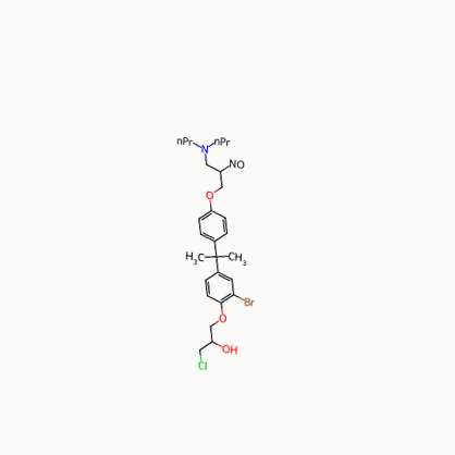 CCCN(CCC)CC(COc1ccc(C(C)(C)c2ccc(OCC(O)CCl)c(Br)c2)cc1)N=O